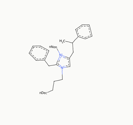 CCCCCCCCCCCCCn1cc(CC(C)c2ccccc2)[n+](CCCCCCCCC)c1Cc1ccccc1